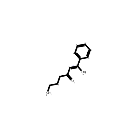 CCCCC(=O)/C=C(\O)c1ccccc1